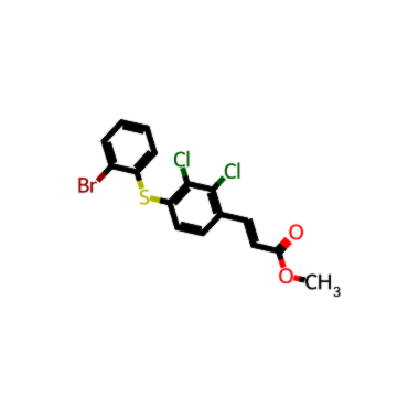 COC(=O)C=Cc1ccc(Sc2ccccc2Br)c(Cl)c1Cl